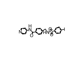 O=C(Nc1ccncc1)c1ccc(CNS(=O)(=O)c2ccc(I)cc2)cc1